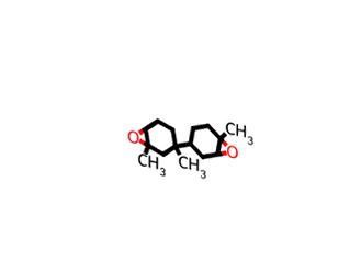 CC1(C2CCC3(C)OC3C2)CCC2OC2(C)C1